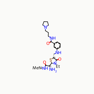 CCN1C(=O)[C@@H](CNc2cccc(C(=O)NCCCN3CCCC3)c2)SC1[C@H](N)C(=O)NNC